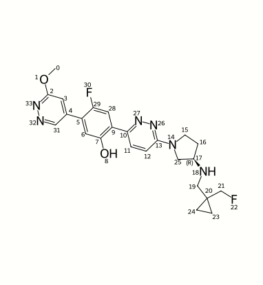 COc1cc(-c2cc(O)c(-c3ccc(N4CC[C@@H](NCC5(CF)CC5)C4)nn3)cc2F)cnn1